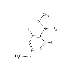 CCc1cc(F)c(N(C)SC)c(F)c1